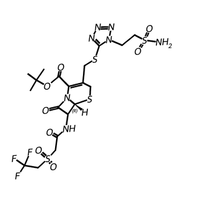 CC(C)(C)OC(=O)C1=C(CSc2nnnn2CCS(N)(=O)=O)CS[C@@H]2C(NC(=O)CS(=O)(=O)CC(F)(F)F)C(=O)N12